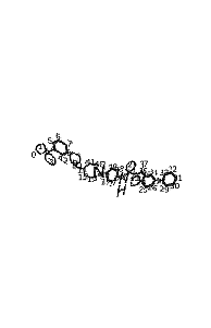 COC(=O)c1cccc(OCC2CCN(c3ccc(NC(=O)c4oc5ccc(-c6ccccc6)cc5c4C)cc3)CC2)c1